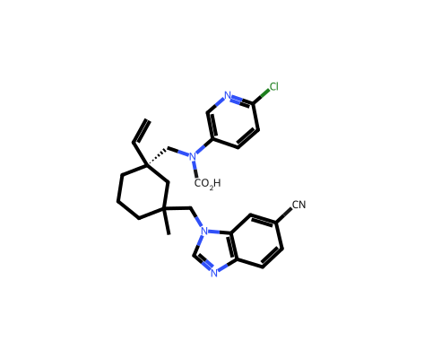 C=C[C@]1(CN(C(=O)O)c2ccc(Cl)nc2)CCCC(C)(Cn2cnc3ccc(C#N)cc32)C1